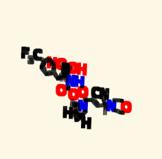 CC(C)(C=C(C#N)C(=O)N1C[C@@H]2C[C@@H]2[C@@H]1COC(=O)N[C@@H](Cc1ccc(C(F)(F)F)cc1)B(O)O)N1CCOCC1